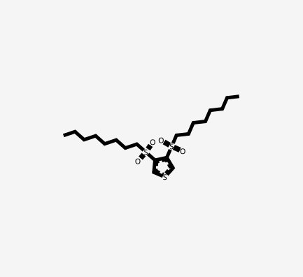 CCCCCCCCS(=O)(=O)c1cscc1S(=O)(=O)CCCCCCCC